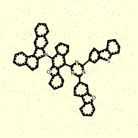 c1ccc2cc3c(cc2c1)c1c2ccccc2ccc1n3-c1c2ccccc2c(-c2nc(-c3ccc4c(c3)oc3ccccc34)nc(-c3ccc4c(c3)sc3ccccc34)n2)c2c1oc1ccccc12